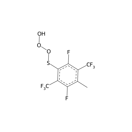 Cc1c(F)c(C(F)(F)F)c(SOOO)c(F)c1C(F)(F)F